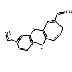 C=CC1=CC2=C(C=CC1)Nc1ccc(C=C)cc1S2